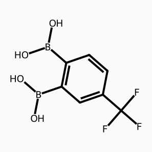 OB(O)c1ccc(C(F)(F)F)cc1B(O)O